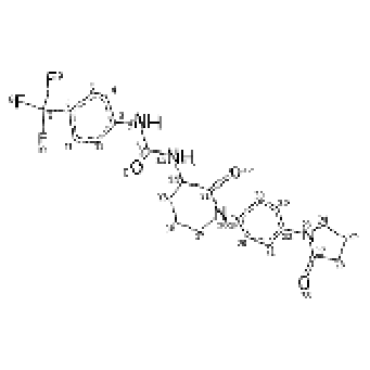 O=C(Nc1ccc(C(F)(F)F)cc1)NC1CCCN(c2ccc(N3CCCC3=O)cc2)C1=O